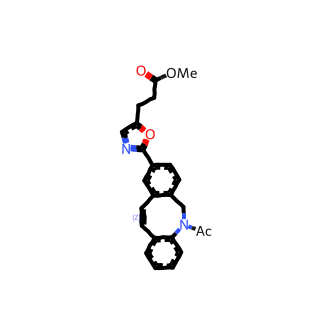 COC(=O)CCc1cnc(-c2ccc3c(c2)/C=C\c2ccccc2N(C(C)=O)C3)o1